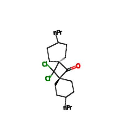 CCCC1CC[C@]2(CC1)C(=O)[C@@]1(CCC(CCC)CC1)C2(Cl)Cl